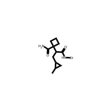 CCNC(=O)C(CC1CC1C)C1(C(N)=O)CCC1